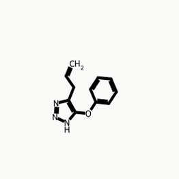 C=CCc1nn[nH]c1Oc1ccccc1